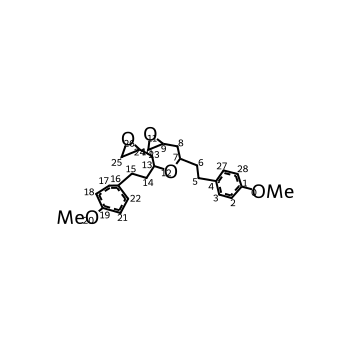 COc1ccc(CCC(CC2CO2)OC(CCc2ccc(OC)cc2)CC2CO2)cc1